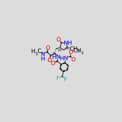 CNC(=O)C(=O)[C@H](C[C@@H]1C[C@@H](C)NC1=O)NC(=O)c1cc(C(F)F)ccc1NC(=O)OC